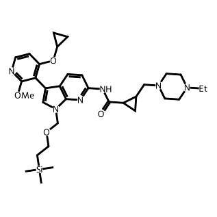 CCN1CCN(CC2CC2C(=O)Nc2ccc3c(-c4c(OC5CC5)ccnc4OC)cn(COCC[Si](C)(C)C)c3n2)CC1